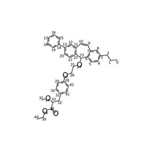 CCCc1ccc2c(c1)C=Cc1cc(-c3ccccc3)ccc1C2OCCOc1ccc(CC(OC)C(=O)OCC)cc1